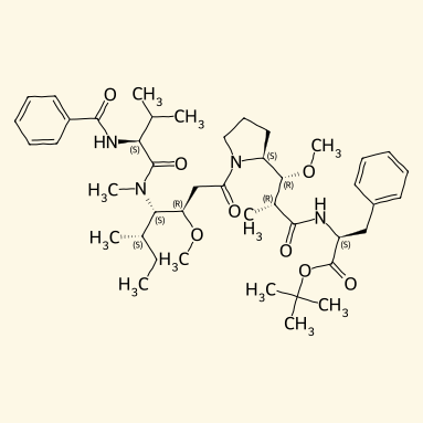 CC[C@H](C)[C@@H]([C@@H](CC(=O)N1CCC[C@H]1[C@H](OC)[C@@H](C)C(=O)N[C@@H](Cc1ccccc1)C(=O)OC(C)(C)C)OC)N(C)C(=O)[C@@H](NC(=O)c1ccccc1)C(C)C